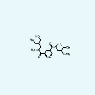 CN(CC(CO)CO)C(=O)c1cncc(C(=O)N(C)CC(CO)CO)c1